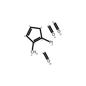 CC1=[C]([Pt])CC=C1.[C]=O.[C]=O.[C]=O